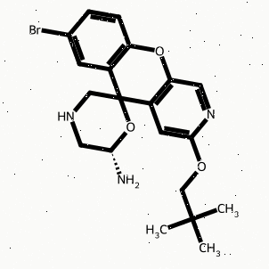 CC(C)(C)COc1cc2c(cn1)Oc1ccc(Br)cc1C21CNC[C@@H](N)O1